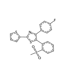 CS(=O)(=O)c1ccccc1-c1sc(-c2cccs2)nc1-c1ccc(F)cc1